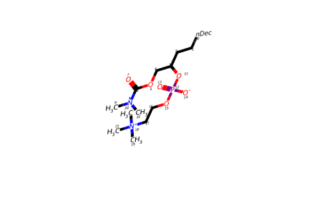 CCCCCCCCCCCCC(COC(=O)N(C)C)OP(=O)([O-])OCC[N+](C)(C)C